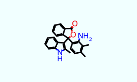 Cc1ccc(C2(c3c(C)[nH]c4ccccc34)OC(=O)c3ccccc32)c(N)c1C